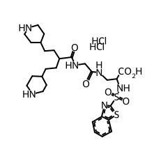 Cl.Cl.O=C(CNC(=O)C(CCC1CCNCC1)CCC1CCNCC1)NCC(NS(=O)(=O)c1nc2ccccc2s1)C(=O)O